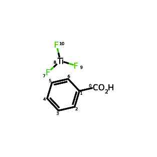 O=C(O)c1ccccc1.[F][Ti]([F])[F]